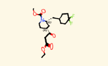 CCOC(=O)CC(=O)[C@@H]1CCN(C(=O)OC)[C@H](CC2CCC(F)(F)CC2)C1